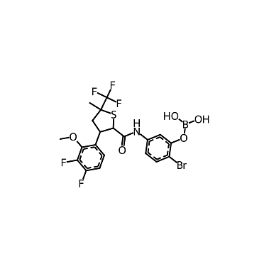 COc1c(C2CC(C)(C(F)(F)F)SC2C(=O)Nc2ccc(Br)c(OB(O)O)c2)ccc(F)c1F